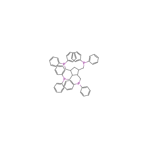 c1ccc(P(CC2CC(CP(c3ccccc3)c3ccccc3)C(CP(c3ccccc3)c3ccccc3)C2CP(c2ccccc2)c2ccccc2)c2ccccc2)cc1